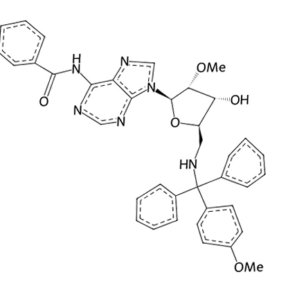 COc1ccc(C(NC[C@H]2O[C@@H](n3cnc4c(NC(=O)c5ccccc5)ncnc43)[C@H](OC)[C@@H]2O)(c2ccccc2)c2ccccc2)cc1